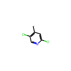 [CH]c1cc(Cl)ncc1Cl